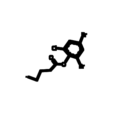 [CH2]CCCC(=O)Oc1c(Cl)cc(Br)cc1Br